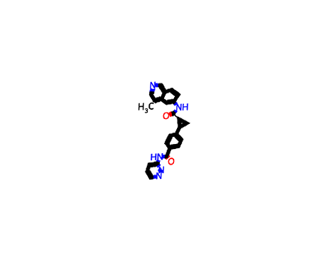 Cc1cncc2ccc(NC(=O)[C@@H]3CC3c3ccc(C(=O)Nc4cccnn4)cc3)cc12